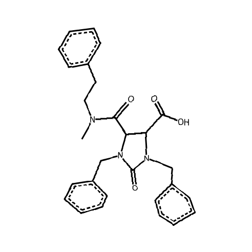 CN(CCc1ccccc1)C(=O)C1C(C(=O)O)N(Cc2ccccc2)C(=O)N1Cc1ccccc1